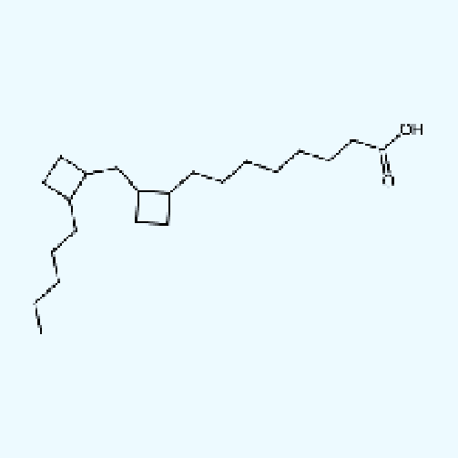 CCCCCC1CCC1CC1CCC1CCCCCCCC(=O)O